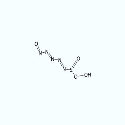 O=N/N=N/N=N/S(=O)OO